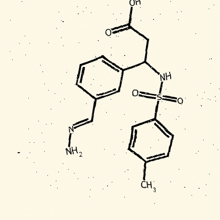 Cc1ccc(S(=O)(=O)NC(CC(=O)O)c2cccc(C=NN)c2)cc1